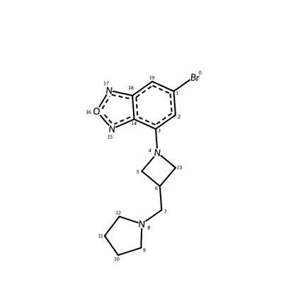 Brc1cc(N2CC(CN3CCCC3)C2)c2nonc2c1